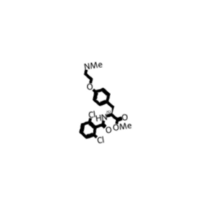 CNCCOc1ccc(C[C@H](NC(=O)c2c(Cl)cccc2Cl)C(=O)OC)cc1